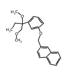 CCC(COC)(OC)c1cccc(OCc2ccc3ccccc3c2)c1